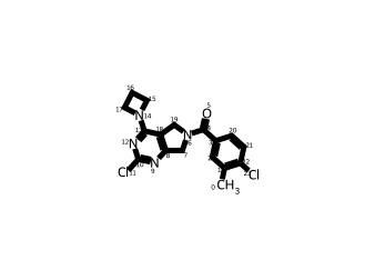 Cc1cc(C(=O)N2Cc3nc(Cl)nc(N4CCC4)c3C2)ccc1Cl